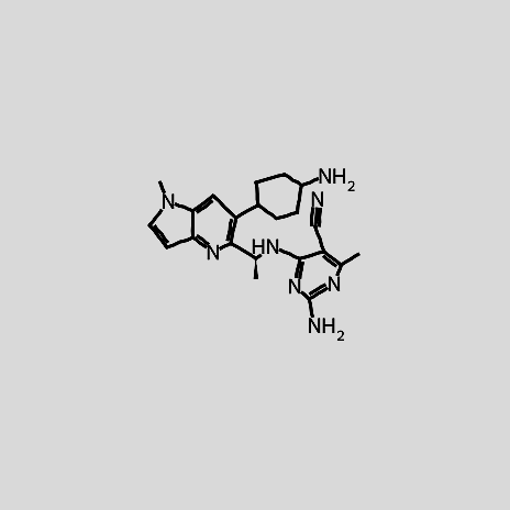 Cc1nc(N)nc(N[C@@H](C)c2nc3ccn(C)c3cc2C2CCC(N)CC2)c1C#N